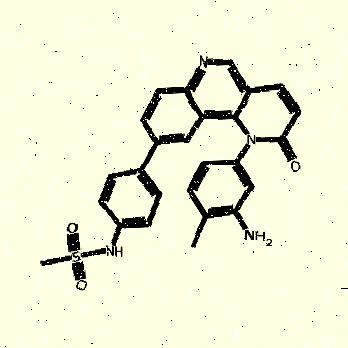 Cc1ccc(-n2c(=O)ccc3cnc4ccc(-c5ccc(NS(C)(=O)=O)cc5)cc4c32)cc1N